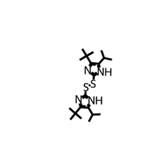 CC(C)c1[nH]c(SSc2nc(C(C)(C)C)c(C(C)C)[nH]2)nc1C(C)(C)C